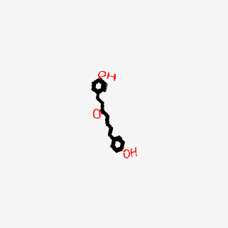 O=C(/C=C/C=C/c1ccc(O)cc1)CCc1ccc(O)cc1